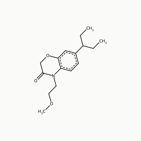 CCC(CC)c1ccc2c(c1)OCC(=O)N2CCOC